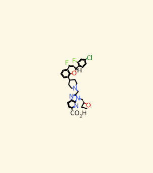 [2H][C@]1(c2ccc(Cl)cc2F)C=C(F)c2cccc(C3CCN(Cc4nc5ccc(C(=O)O)nc5n4C[C@@H]4CCO4)CC3)c2O1